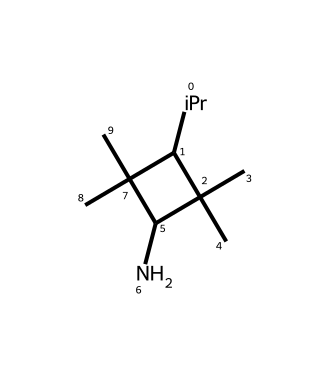 CC(C)C1C(C)(C)C(N)C1(C)C